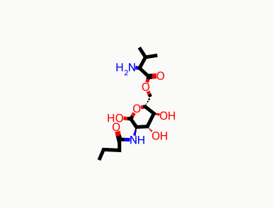 CCCC(=O)N[C@H]1C(O)O[C@H](COC(=O)C(N)C(C)C)[C@@H](O)[C@@H]1O